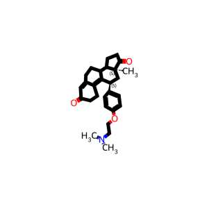 CN(C)CCOc1ccc([C@@H]2C[C@]3(C)C(=O)CCC3C3CCC4=CC(=O)CCC4=C32)cc1